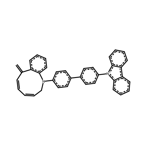 C=C1/C=C\C=C/CN(c2ccc(-c3ccc(-n4c5ccccc5c5ccccc54)cc3)cc2)c2ccccc21